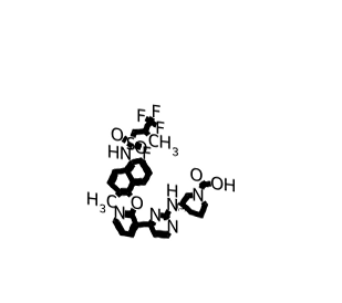 Cc1ccc2c(NS(=O)(=O)CC(C)C(F)(F)F)c(F)ccc2c1Oc1ncccc1-c1ccnc(N[C@H]2CCCN(C(=O)O)C2)n1